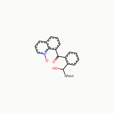 CCCCCC(O)c1ccccc1C(=O)c1cccc2ccc[n+]([O-])c12